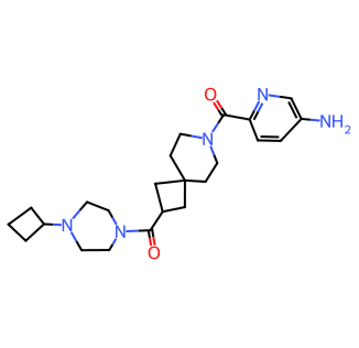 Nc1ccc(C(=O)N2CCC3(CC2)CC(C(=O)N2CCN(C4CCC4)CC2)C3)nc1